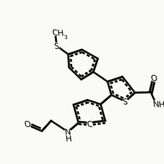 CSc1ccc(-c2cc(C(N)=O)sc2-c2ccc(NCC=O)cc2)cc1